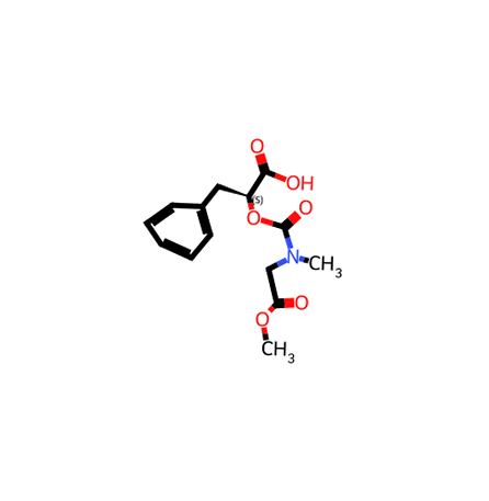 COC(=O)CN(C)C(=O)O[C@@H](Cc1ccccc1)C(=O)O